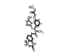 CN(C(=O)Cc1ccc2c(c1)NC(=O)CS2(=O)=O)[C@H](CN1CC[C@@H](O)C1)c1cccc(OCC(=O)OC(C)(C)C)c1